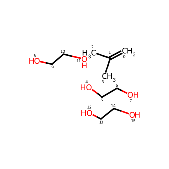 C=C(C)C.OCCO.OCCO.OCCO